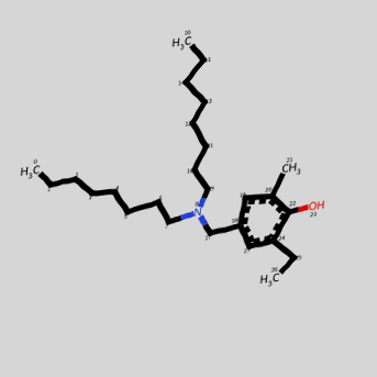 CCCCCCCCN(CCCCCCCC)Cc1cc(C)c(O)c(CC)c1